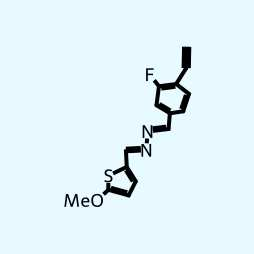 C#Cc1ccc(/C=N/N=C/c2ccc(OC)s2)cc1F